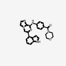 O=C(c1ccc(Nc2nc(-c3cccc4[nH]ccc34)cn3ccnc23)cc1)N1CCOCC1